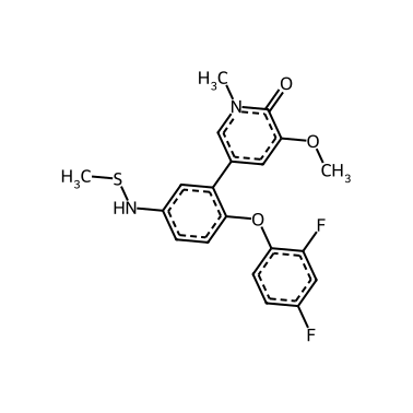 COc1cc(-c2cc(NSC)ccc2Oc2ccc(F)cc2F)cn(C)c1=O